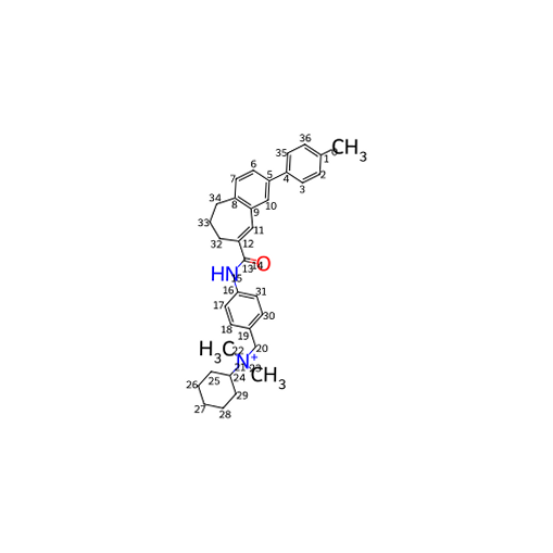 Cc1ccc(-c2ccc3c(c2)C=C(C(=O)Nc2ccc(C[N+](C)(C)C4CCCCC4)cc2)CCC3)cc1